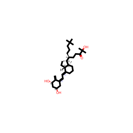 C=C1/C(=C\C=C2/CCC[C@]3(C)[C@@H]([C@@H](CCCC(C)(C)C)CCC(=O)C(C)(C)O)CC[C@@H]23)C[C@@H](O)C[C@@H]1O